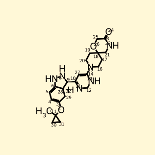 CC1(OC2=CC=C3NN[C@@H](C4=NCNC(N5CCC6(CC5)CNC(=O)CO6)=C4)[C@H]3C2)CC1